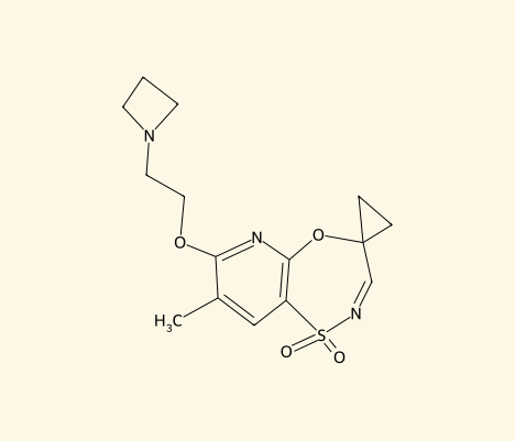 Cc1cc2c(nc1OCCN1CCC1)OC1(C=NS2(=O)=O)CC1